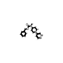 CN(C(=O)OCc1ccccc1)C1CCN(c2ccnnc2)CC1